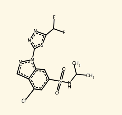 CC(C)NS(=O)(=O)c1cc(Cl)c2cnn(-c3nnc(C(F)F)s3)c2c1